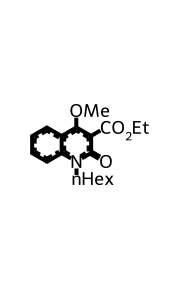 CCCCCCn1c(=O)c(C(=O)OCC)c(OC)c2ccccc21